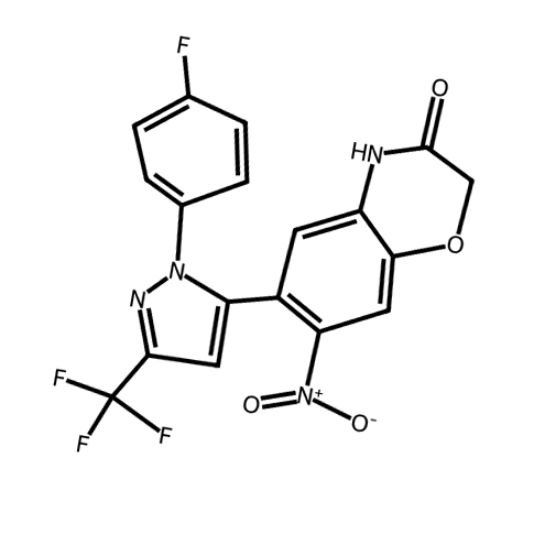 O=C1COc2cc([N+](=O)[O-])c(-c3cc(C(F)(F)F)nn3-c3ccc(F)cc3)cc2N1